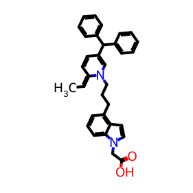 CC=C1C=CC(C(c2ccccc2)c2ccccc2)=CN1CCCc1cccc2c1ccn2CC(=O)O